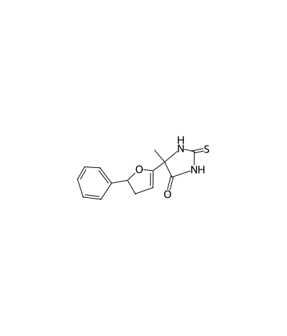 CC1(C2=CCC(c3ccccc3)O2)NC(=S)NC1=O